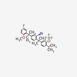 COc1ccc(F)cc1C(C)(C)c1ccc(C(C)(C)c2ccc(C(C)C)c(OC(F)(F)F)c2)c(C#N)c1